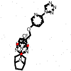 FC(F)(F)c1cnc(N2C3CCC2CC(n2ncc(COc4ccc(-n5cnnn5)nc4)n2)C3)nc1